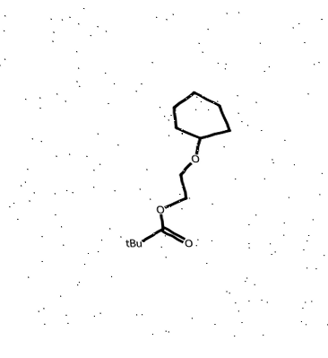 CC(C)(C)C(=O)O[CH]COC1CCCCC1